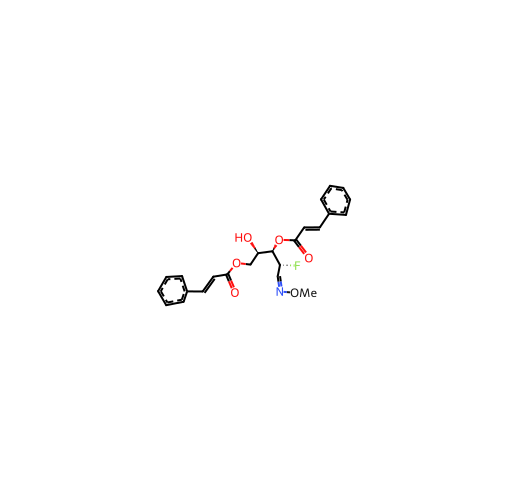 CO/N=C\[C@@H](F)[C@H](OC(=O)/C=C/c1ccccc1)[C@H](O)COC(=O)/C=C/c1ccccc1